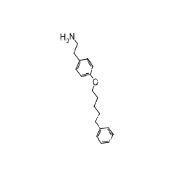 NCCc1ccc(OCCCCCc2ccccc2)cc1